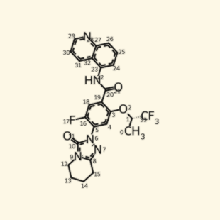 C[C@H](Oc1cc(-n2nc3n(c2=O)CCCC3)c(F)cc1C(=O)Nc1cccc2ncccc12)C(F)(F)F